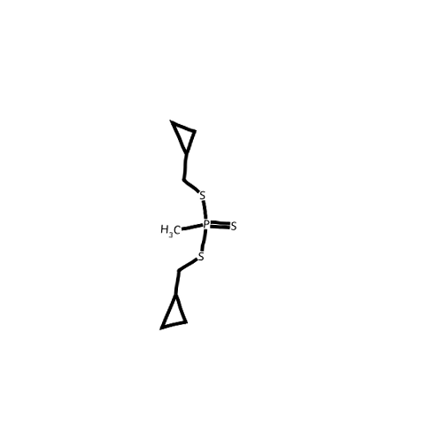 CP(=S)(SCC1CC1)SCC1CC1